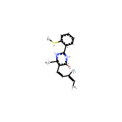 C/C=C(\C=C/c1c(C)nc(-c2ccccc2SCC)nc1Br)C(F)(F)F